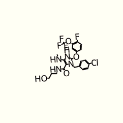 CNC1=C(C(=O)NCCCO)N(Cc2ccc(Cl)cc2)C(Oc2ccc(F)c(OC(F)(F)F)c2)N1